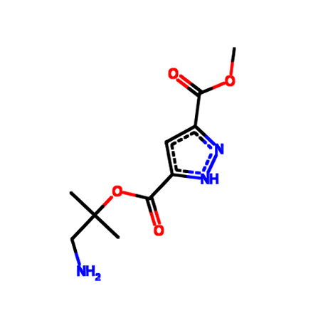 COC(=O)c1cc(C(=O)OC(C)(C)CN)[nH]n1